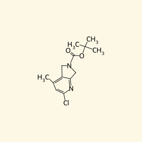 Cc1cc(Cl)nc2c1CN(C(=O)OC(C)(C)C)C2